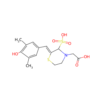 Cc1cc(C=C2SCCN(CC(=O)O)C2S(=O)(=O)O)cc(C)c1O